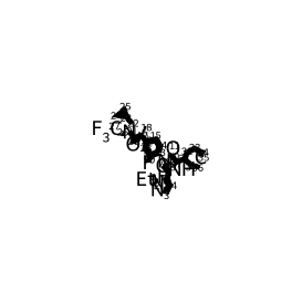 CCn1nccc1C(=O)N[C@H](C(=O)Nc1ccc([C@H](C)C(=O)N(CC2CC2)CC(F)(F)F)cc1F)C1CCCCCC1